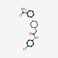 NC(=O)c1cccc([C@H]2CC[C@H](CC(=O)Nc3ccc(Cl)cc3)CC2)c1